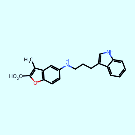 Cc1c(C(=O)O)oc2ccc(NCCCc3c[nH]c4ccccc34)cc12